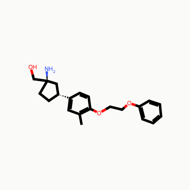 Cc1cc([C@@H]2CC[C@](N)(CO)C2)ccc1OCCOc1ccccc1